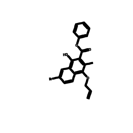 C=CCOc1c(C)c(C(=O)Oc2ccccc2)c(O)c2cc(Br)ccc12